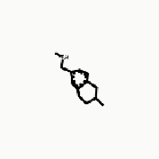 CPCc1ccc2c(c1)CCC(C)C2